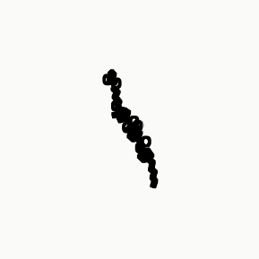 C=CC(=O)OCCCCOc1ccc(C(=O)Oc2ccc(C(=O)Oc3ccc(CCCCCC)cc3)cc2OC)cc1C